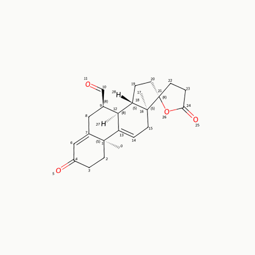 C[C@]12CCC(=O)C=C1C[C@@H](C=O)[C@@H]1C2=CC[C@@]2(C)[C@H]1CC[C@@]21CCC(=O)O1